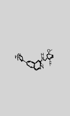 COc1ccc(F)c(CNc2cc3cc(-c4cn[nH]c4)ccc3cn2)c1